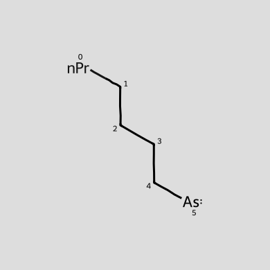 CCCCCCC[As]